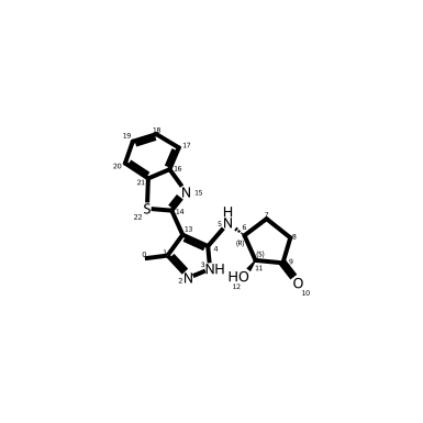 Cc1n[nH]c(N[C@@H]2CCC(=O)[C@H]2O)c1-c1nc2ccccc2s1